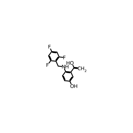 C=C(O)c1cc(O)ccc1NCc1c(F)cc(F)cc1F